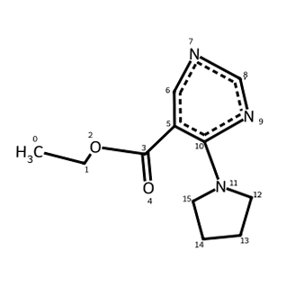 CCOC(=O)c1cn[c]nc1N1CCCC1